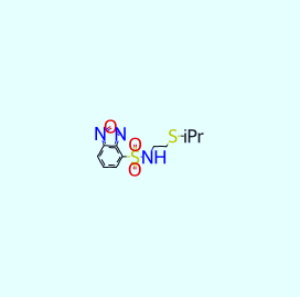 CC(C)SCCNS(=O)(=O)c1cccc2nonc12